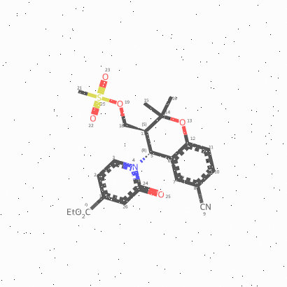 CCOC(=O)c1ccn([C@H]2c3cc(C#N)ccc3OC(C)(C)[C@@H]2COS(C)(=O)=O)c(=O)c1